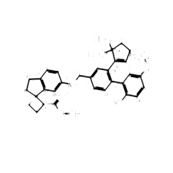 COC(=O)[C@H]1CC[C@]12CCc1ccc(OCc3ccc(-c4cc(OC)ccc4F)c(C4=CCCC4(C)C)c3)cc12